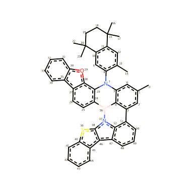 Cc1cc2c3c(c1)N(c1cc4c(cc1C)C(C)(C)CCC4(C)C)c1c(ccc4c1oc1ccccc14)B3n1c3sc4ccccc4c3c3cccc-2c31